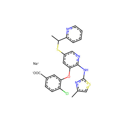 Cc1csc(Nc2ncc(SC(C)c3ccccn3)cc2Oc2cc(C(=O)[O-])ccc2Cl)n1.[Na+]